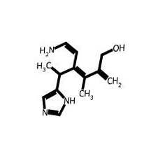 C=C(CO)/C(C)=C(\C=C/N)C(C)c1cnc[nH]1